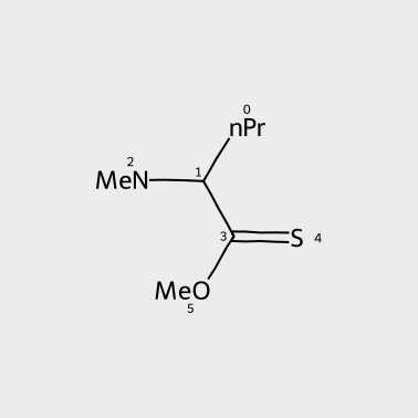 CCCC(NC)C(=S)OC